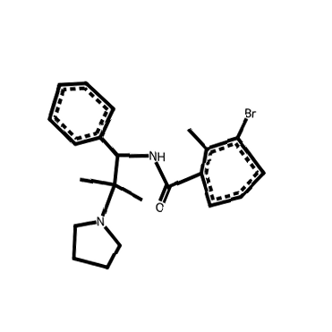 Cc1c(Br)cccc1C(=O)NC(c1ccccc1)C(C)(C)N1CCCC1